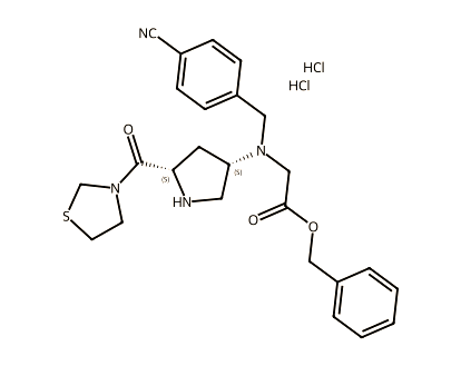 Cl.Cl.N#Cc1ccc(CN(CC(=O)OCc2ccccc2)[C@@H]2CN[C@H](C(=O)N3CCSC3)C2)cc1